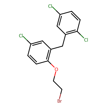 Clc1ccc(Cl)c(Cc2cc(Cl)ccc2OCCBr)c1